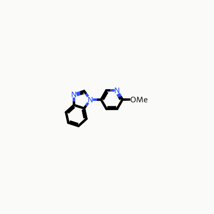 COc1ccc(-n2cnc3ccccc32)cn1